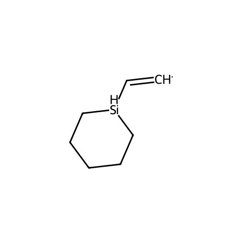 [CH]=C[SiH]1CCCCC1